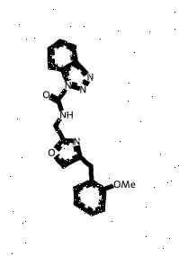 COc1ccccc1Cc1coc(CNC(=O)n2nnc3ccccc32)n1